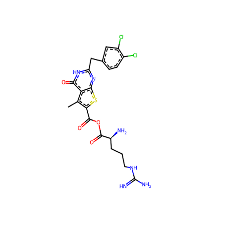 Cc1c(C(=O)OC(=O)[C@@H](N)CCCNC(=N)N)sc2nc(Cc3ccc(Cl)c(Cl)c3)[nH]c(=O)c12